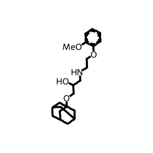 COc1ccccc1OCCNCC(O)COC12CC3CC(CC(C3)C1)C2